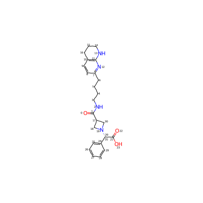 O=C(NCCCCc1ccc2c(n1)NCCC2)C1CN([C@H](C(=O)O)c2ccccc2)C1